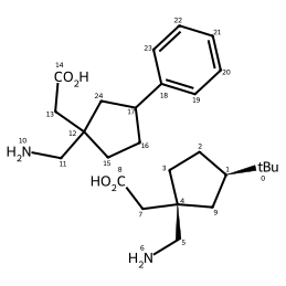 CC(C)(C)[C@@H]1CC[C@@](CN)(CC(=O)O)C1.NCC1(CC(=O)O)CCC(c2ccccc2)C1